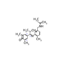 CC[C@@H](C)NCc1ccc(C)c(/N=C(C(/C=C(/C)C=O)=C/NC)\C(C)C)c1